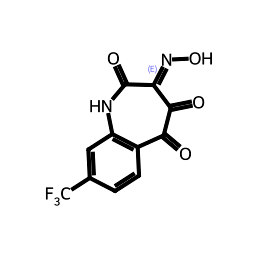 O=C1Nc2cc(C(F)(F)F)ccc2C(=O)C(=O)/C1=N\O